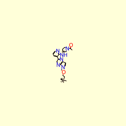 CC(=O)N1CC[C@@H](Nc2ncccc2-c2cnc3c(ccn3COCC[Si](C)(C)C)n2)C1